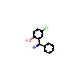 N=C(c1ccccc1)c1cc(Cl)ccc1O